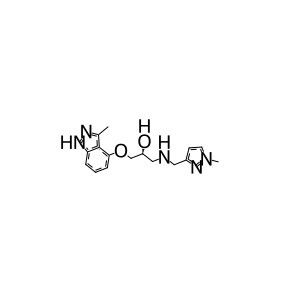 Cc1n[nH]c2cccc(OC[C@@H](O)CNCc3ccn(C)n3)c12